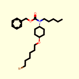 CCCCCN(C(=O)OCc1ccccc1)[C@H]1CC[C@H](OCCCCCCBr)CC1